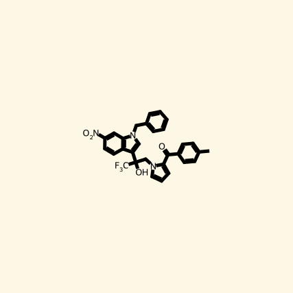 Cc1ccc(C(=O)c2cccn2CC(O)(c2cn(Cc3ccccc3)c3cc([N+](=O)[O-])ccc23)C(F)(F)F)cc1